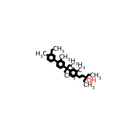 CCc1cc(-c2ccc(C(CC)(CC)c3ccc(/C=C/C(O)(CC)CC)c(C)c3)cc2C)ccc1C